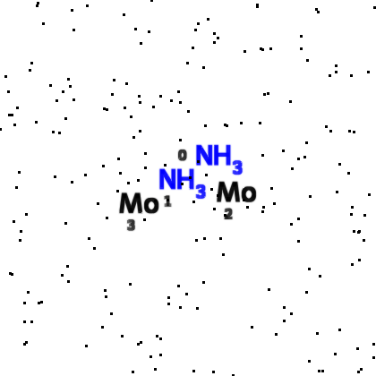 N.N.[Mo].[Mo]